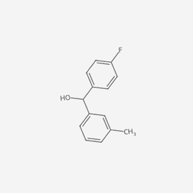 Cc1cccc(C(O)c2ccc(F)cc2)c1